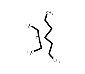 CCCCCCC.C[CH2][Zn][CH2]C